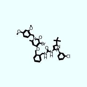 COc1ccc(Cn2c(C)cc(OCc3ccccc3CNC(=O)Nc3cc(C(C)(C)C)nn3-c3cccc(Cl)c3)c(Br)c2=O)c(OC)c1